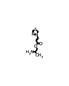 CC(N)COC(=O)C=CN1CSC=N1